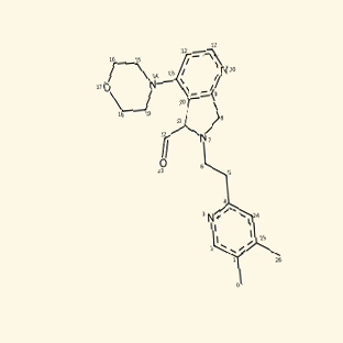 Cc1cnc(CCN2Cc3nccc(N4CCOCC4)c3C2C=O)cc1C